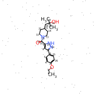 CCOc1ccc(-c2cc(C(=O)N3CCC(CC(C)(C)O)CC3)[nH]n2)cc1